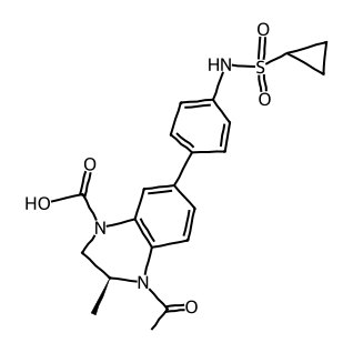 CC(=O)N1c2ccc(-c3ccc(NS(=O)(=O)C4CC4)cc3)cc2N(C(=O)O)C[C@@H]1C